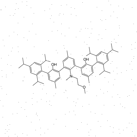 COCCN(C)c1c(-c2cc(C)cc(-c3c(C(C)C)cc(C(C)C)cc3C(C)C)c2O)cc(C)cc1-c1cc(C)cc(-c2c(C(C)C)cc(C(C)C)cc2C(C)C)c1O